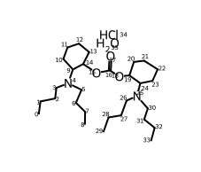 CCCCN(CCCC)C1CCCCC1OC(=O)OC1CCCCC1N(CCCC)CCCC.Cl.O